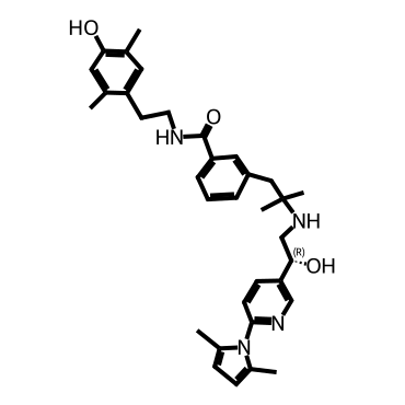 Cc1cc(CCNC(=O)c2cccc(CC(C)(C)NC[C@H](O)c3ccc(-n4c(C)ccc4C)nc3)c2)c(C)cc1O